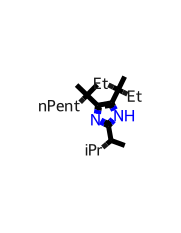 CCCCCC(C)(C)c1nc(C(C)C(C)C)[nH]c1C(C)(CC)CC